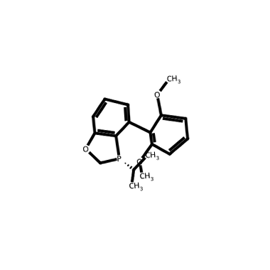 COc1cccc(OC)c1-c1cccc2c1[P@](C(C)C)CO2